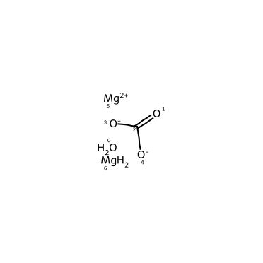 O.O=C([O-])[O-].[Mg+2].[MgH2]